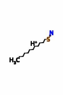 CCCCCCCCCCCCSC#N.[H+]